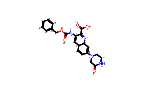 O=C1CN(C2=CC3N=C(C(=O)O)C(NC(=O)OCc4ccccc4)=CC3C=C2)CCN1